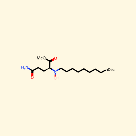 CCCCCCCCCCCCCCCCCCN(O)[C@@H](CCC(N)=O)C(=O)OC